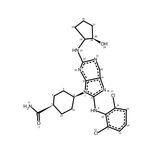 NC(=O)[C@H]1CC[C@@H](n2c(Nc3c(Cl)cccc3Cl)nc3cnc(NC4CCC[C@H]4O)nc32)CC1